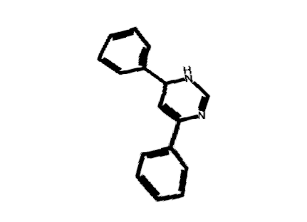 C1=NC(c2ccccc2)=CC(c2ccccc2)N1